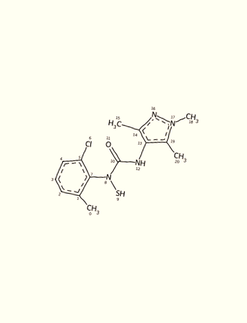 Cc1cccc(Cl)c1N(S)C(=O)Nc1c(C)nn(C)c1C